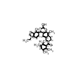 CCn1nnc2c(C)c([C@H](CC(=O)O)c3cc(C)c4c(c3)CN(C(=O)c3c(C)c(C)cc(C)c3C)CC4)ccc21